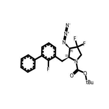 CC(C)(C)OC(=O)N1CC(F)(F)[C@H](N=[N+]=[N-])[C@@H]1Cc1cccc(-c2ccccc2)c1F